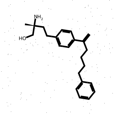 C=C(CCCCc1ccccc1)c1ccc(CC[C@@](C)(N)CO)cc1